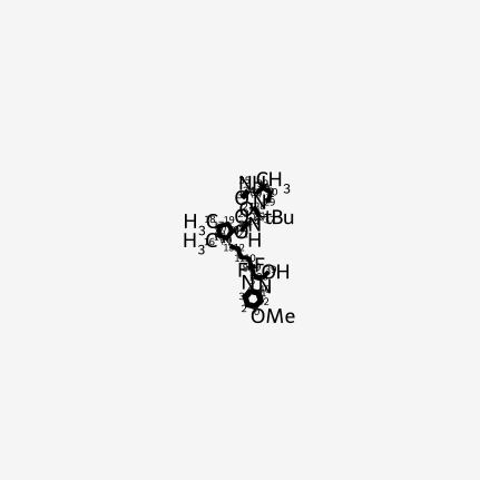 COc1ccc2nc(C(F)(F)CCCC[C@@H]3[C@@H](C)[C@@H](C)C[C@H]3OC(=O)N[C@H](C(=O)N3CC[C@@H](C)[C@H]3C(N)=O)C(C)(C)C)c(O)nc2c1